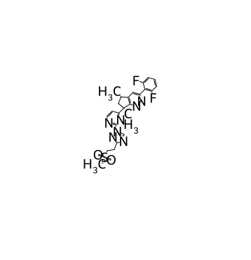 C[C@@H]1C[C@@](C)(c2ccnc(-n3cnc(CCS(C)(=O)=O)n3)n2)c2nnc(-c3c(F)cccc3F)cc21